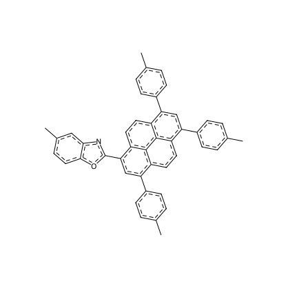 Cc1ccc(-c2cc(-c3ccc(C)cc3)c3ccc4c(-c5nc6cc(C)ccc6o5)cc(-c5ccc(C)cc5)c5ccc2c3c54)cc1